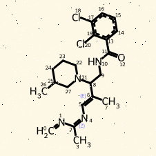 C=N/C(C)=N\C=C(/C)C(CNC(=O)c1cccc(Cl)c1Cl)N1CCCC(C)C1